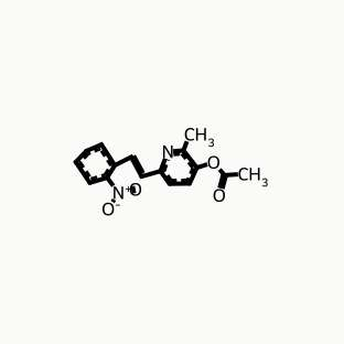 CC(=O)Oc1ccc(C=Cc2ccccc2[N+](=O)[O-])nc1C